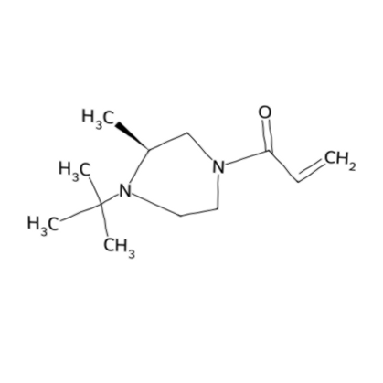 C=CC(=O)N1CCN(C(C)(C)C)[C@@H](C)C1